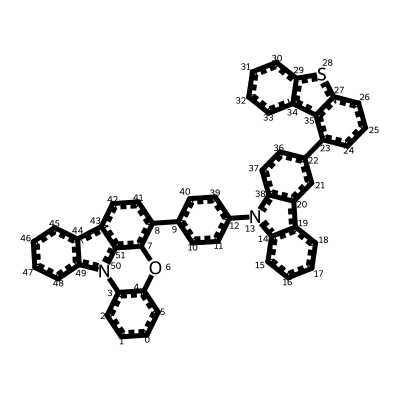 c1ccc2c(c1)Oc1c(-c3ccc(-n4c5ccccc5c5cc(-c6cccc7sc8ccccc8c67)ccc54)cc3)ccc3c4ccccc4n-2c13